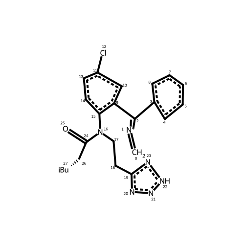 C=[N+]=C(c1ccccc1)c1cc(Cl)ccc1N(CCc1nn[nH]n1)C(=O)C[C@@H](C)CC